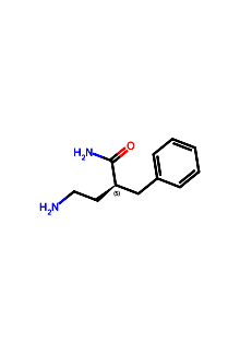 NCC[C@H](Cc1ccccc1)C(N)=O